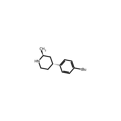 C[C@H]1C[C@H](c2ccc(C(C)(C)C)cc2)CCN1